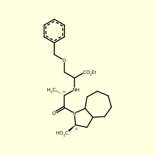 CCOC(=O)C(COCc1ccccc1)N[C@@H](C)C(=O)N1C2CCCCCC2C[C@H]1C(=O)O